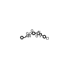 COc1cc(-n2cnc3cc(-c4ccc(Cl)cc4)sc3c2=O)ccc1OCC(=O)NCCc1ccccc1